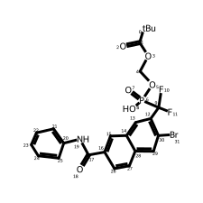 CC(C)(C)C(=O)OCOP(=O)(O)C(F)(F)c1cc2cc(C(=O)Nc3ccccc3)ccc2cc1Br